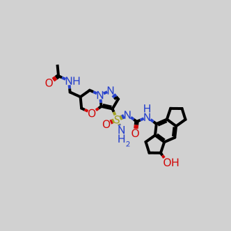 CC(=O)NCC1COc2c(S(N)(=O)=NC(=O)Nc3c4c(cc5c3CCC5O)CCC4)cnn2C1